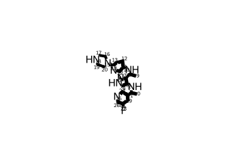 C=C(Nc1c[nH]nc1C(=C)Nc1ccc(N2CCNCC2)nc1)c1cncc(F)c1